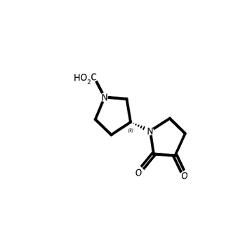 O=C1CCN([C@@H]2CCN(C(=O)O)C2)C1=O